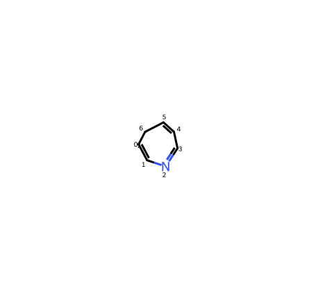 [C]1=CN=CC=CC1